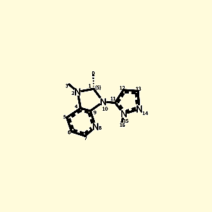 C[C@H]1N(C)c2cccnc2N1c1ccnn1C